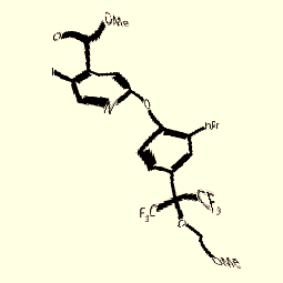 CCCc1cc(C(OCOC)(C(F)(F)F)C(F)(F)F)ccc1Oc1cc(C(=O)OC)c(I)cn1